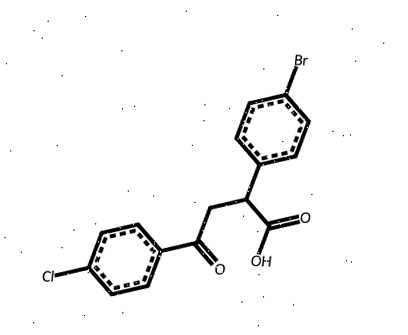 O=C(CC(C(=O)O)c1ccc(Br)cc1)c1ccc(Cl)cc1